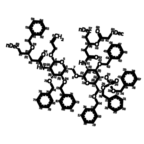 C=CCO[C@H]1O[C@H](CO[C@@H]2O[C@H](COCc3ccccc3)[C@@H](OP(=O)(OCc3ccccc3)OCc3ccccc3)[C@H](OCc3ccccc3)[C@H]2NC(=O)C[C@@H](CCCCCCCCCCC)OC(=O)CCCCCCCCCCC)[C@@H](OCc2ccccc2)[C@H](OCc2ccccc2)[C@H]1NC(=O)C[C@@H](CCCCCCCCCCC)OCc1ccccc1